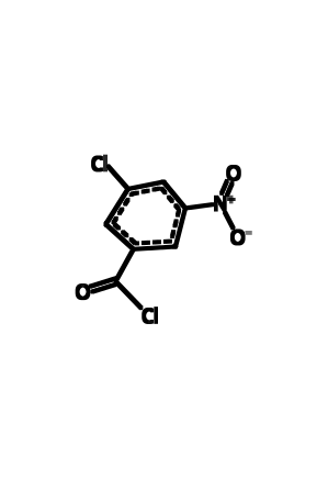 O=C(Cl)c1cc(Cl)cc([N+](=O)[O-])c1